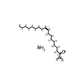 CCCCCCCC/C=C\CCCCCCCC(=O)N(C)C.N